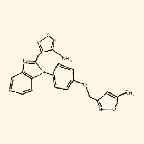 Cc1cc(COc2ccc(-n3c(-c4nonc4N)nc4cnccc43)cc2)no1